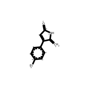 C=C1NC(=O)C=C1c1ccc(CC)cc1